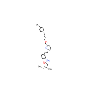 CCC(C)C(CC(=O)Nc1cccc(C=Cc2cccc(COCCCCc3ccc(C(C)C)cc3)n2)c1)C(=O)O